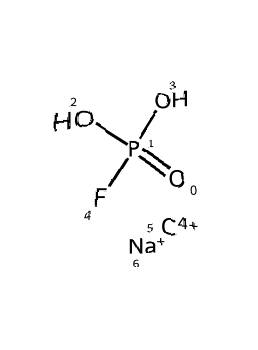 O=P(O)(O)F.[C+4].[Na+]